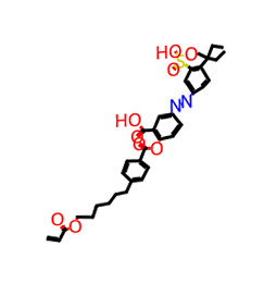 C=CC(=O)OCCCCCCc1ccc(C(=O)Oc2ccc(/N=N/c3ccc(C(C)(CC)CC)c(S(=O)(=O)O)c3)cc2C(=O)O)cc1